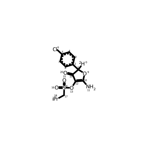 [2H]C1(c2ccc(Cl)cc2)OC(N)=C(OS(=O)(=O)CC(C)C)C1=O